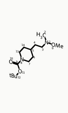 CON(C)CCC1CCN(C(=O)OC(C)(C)C)CC1